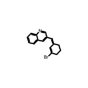 BrC1=CC(=Cc2cnc3ccccc3c2)CCC1